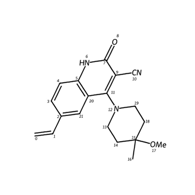 C=Cc1ccc2[nH]c(=O)c(C#N)c(N3CCC(C)(OC)CC3)c2c1